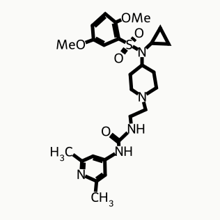 COc1ccc(OC)c(S(=O)(=O)N(C2CC2)C2CCN(CCNC(=O)Nc3cc(C)nc(C)c3)CC2)c1